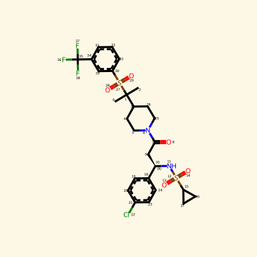 CC(C)(C1CCN(C(=O)C[C@@H](NS(=O)(=O)C2CC2)c2ccc(Cl)cc2)CC1)S(=O)(=O)c1cccc(C(F)(F)F)c1